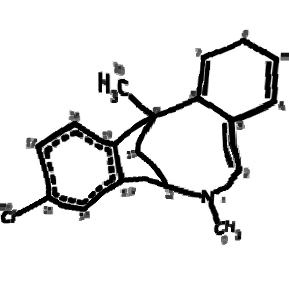 CN1C=C2C=CCC=C2C2(C)CC1c1cc(Cl)ccc12